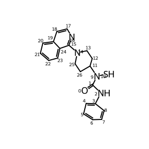 O=C(Nc1ccccc1)N(S)C1CCN(c2nccc3ccccc23)CC1